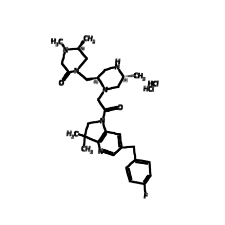 C[C@@H]1CN(CC(=O)N2CC(C)(C)c3ncc(Cc4ccc(F)cc4)cc32)[C@@H](CN2C[C@H](C)N(C)CC2=O)CN1.Cl.Cl